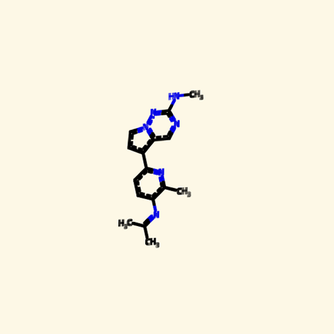 CNc1ncc2c(-c3ccc(N=C(C)C)c(C)n3)ccn2n1